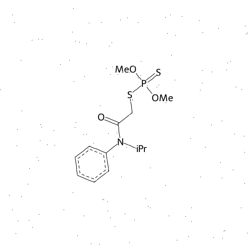 COP(=S)(OC)SCC(=O)N(c1ccccc1)C(C)C